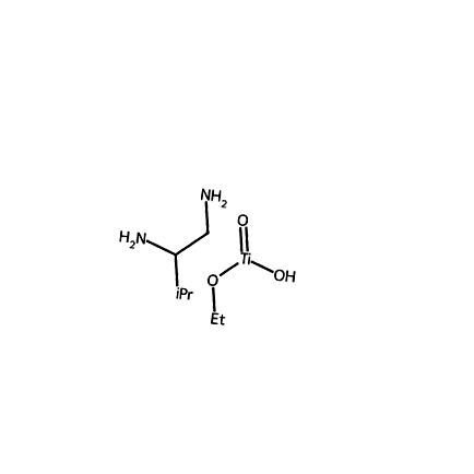 CC(C)C(N)CN.CC[O][Ti](=[O])[OH]